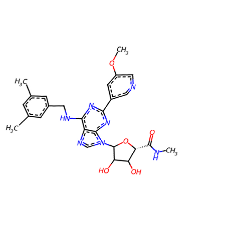 CNC(=O)[C@H]1OC(n2cnc3c(NCc4cc(C)cc(C)c4)nc(-c4cncc(OC)c4)nc32)C(O)C1O